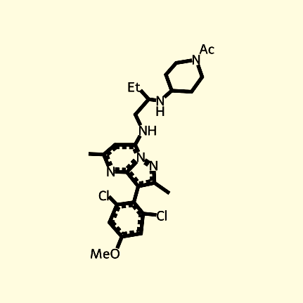 CCC(CNc1cc(C)nc2c(-c3c(Cl)cc(OC)cc3Cl)c(C)nn12)NC1CCN(C(C)=O)CC1